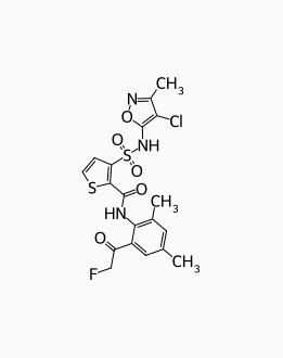 Cc1cc(C)c(NC(=O)c2sccc2S(=O)(=O)Nc2onc(C)c2Cl)c(C(=O)CF)c1